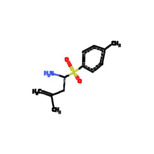 C=C(C)CC(N)S(=O)(=O)c1ccc(C)cc1